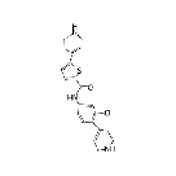 O=C(Nc1ccc(C2=CCNCC2)c(Cl)c1)c1ccc(C2=CCNCC2)s1